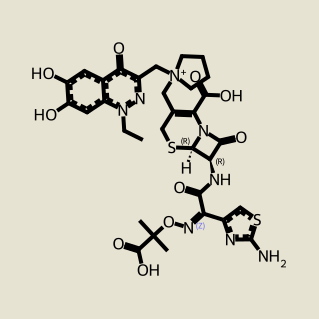 CCn1nc(C[N+]2(CC3=C(C(=O)O)N4C(=O)[C@@H](NC(=O)/C(=N\OC(C)(C)C(=O)O)c5csc(N)n5)[C@H]4SC3)CCCC2)c(=O)c2cc(O)c(O)cc21